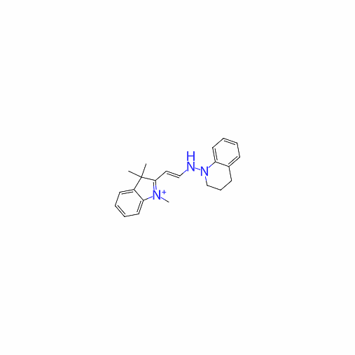 C[N+]1=C(C=CNN2CCCc3ccccc32)C(C)(C)c2ccccc21